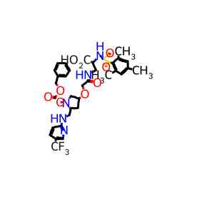 Cc1cc(C)c(S(=O)(=O)NC(CNC(=O)COC2CC(CNc3ccc(C(F)(F)F)cn3)N(OC(=O)OCc3ccccc3)C2)C(=O)O)c(C)c1